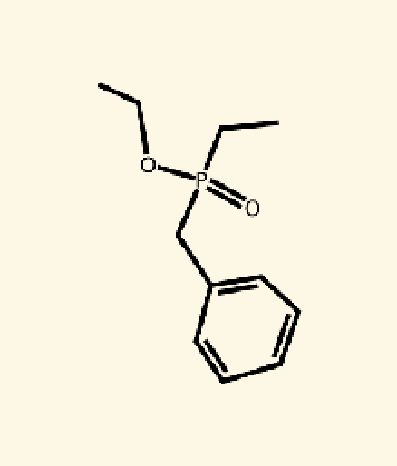 CCOP(=O)(CC)Cc1ccccc1